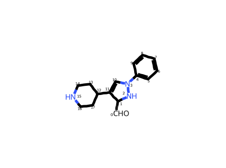 O=CC1NN(c2ccccc2)C=C1C1CCNCC1